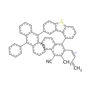 C=C/C=C\c1c(C)c(C#N)c2ccccc2c1-c1cccc2sc3ccc(-c4c5ccccc5c(-c5ccccc5)c5ccccc45)cc3c12